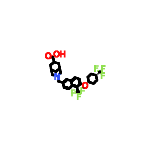 O=C(O)C1CC2CC(C1)CN(Cc1ccc3c(C(F)(F)F)c(O[C@H]4CC[C@@H](C(F)(F)F)CC4)ccc3c1)C2